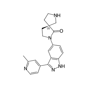 Cc1cc(-c2n[nH]c3ccc(N4CC[C@]5(CCNC5)C4=O)cc23)ccn1